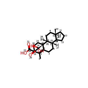 CC1=C2CC[C@@H]3[C@@H](CC[C@]4(C)CCC[C@@H]34)[C@@]2(C(O)(O)CC(=O)O)CCC1=O